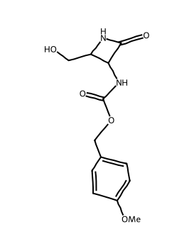 COc1ccc(COC(=O)NC2C(=O)NC2CO)cc1